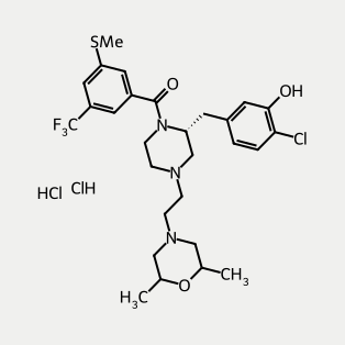 CSc1cc(C(=O)N2CCN(CCN3CC(C)OC(C)C3)C[C@H]2Cc2ccc(Cl)c(O)c2)cc(C(F)(F)F)c1.Cl.Cl